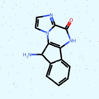 NC1c2ccccc2-c2[nH]c(=O)c3nccn3c21